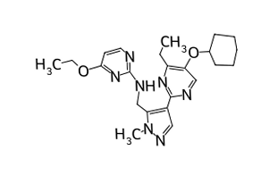 CCOc1ccnc(NCc2c(-c3ncc(OC4CCCCC4)c(CC)n3)cnn2C)n1